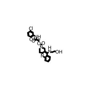 COc1ccc(Cl)cc1NC(=O)COC(=O)N1CCc2nc3ccccc3c(NCCO)c2C1